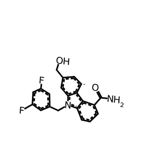 NC(=O)c1cccc2c1c1[c]cc(CO)cc1n2Cc1cc(F)cc(F)c1